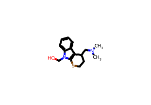 CN(C)CC1CCSc2c1c1ccccc1n2CO